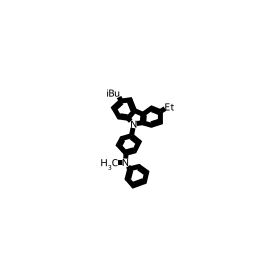 CCc1ccc2c(c1)c1cc(C(C)CC)ccc1n2-c1ccc(N(C)c2ccccc2)cc1